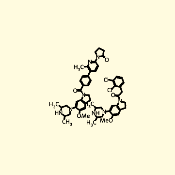 COc1cc2c(cc1N1CC(C)NC(C)C1)N(C(=O)Cc1cccc(Cl)c1Cl)CC2.COc1cc2c(cc1N1CC(C)NC(C)C1)N(C(=O)c1ccc(-c3ccc(N4CCCC4=O)nc3C)cc1)CC2